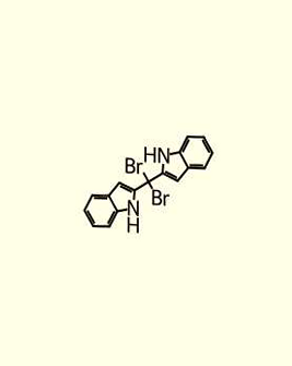 BrC(Br)(c1cc2ccccc2[nH]1)c1cc2ccccc2[nH]1